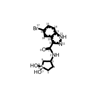 O=C(NC1CCS(O)(O)C1)c1n[nH]c2ccc(Br)cc12